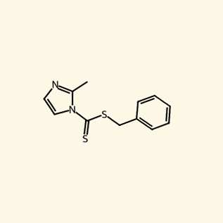 Cc1nccn1C(=S)SCc1ccccc1